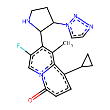 Cc1c(C2NCCC2n2ccnn2)c(F)cn2c(=O)ccc(C3CC3)c12